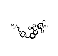 NCCN1CCN(Cc2ccc3c(c2)C(C(=O)C=O)N(C2CCC(=O)NC2=O)C3)CC1